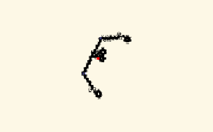 CC(C)(CC(CCCCCCCC/C=C\CCCCCCCC(=O)OCc1ccccc1)CCCCCCCC/C=C\CCCCCCCC(=O)OCc1ccccc1)[Si](O)(c1ccccc1)c1ccccc1